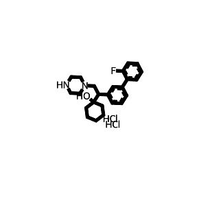 Cl.Cl.OC1(C(CN2CCNCC2)c2cccc(-c3ccccc3F)c2)CCCCC1